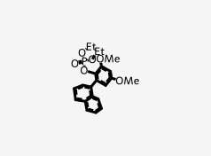 CCOP(=O)(OCC)Oc1c(OC)cc(OC)cc1-c1cccc2ccccc12